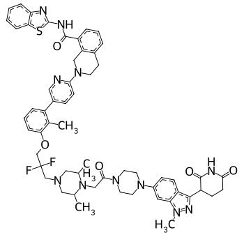 Cc1c(OCC(F)(F)CN2CC(C)N(CC(=O)N3CCN(c4ccc5c(C6CCC(=O)NC6=O)nn(C)c5c4)CC3)C(C)C2)cccc1-c1ccc(N2CCc3cccc(C(=O)Nc4nc5ccccc5s4)c3C2)nc1